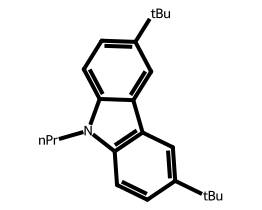 [CH2]CCn1c2ccc(C(C)(C)C)cc2c2cc(C(C)(C)C)ccc21